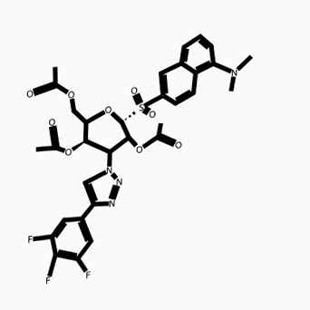 CC(=O)OCC1O[C@H](S(=O)(=O)c2ccc3c(N(C)C)cccc3c2)C(OC(C)=O)C(n2cc(-c3cc(F)c(F)c(F)c3)nn2)[C@H]1OC(C)=O